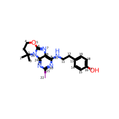 CC1(C)CCOc2nc3c(NCCc4ccc(O)cc4)nc(I)nc3n21